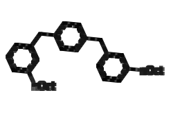 CCCCCCCCc1cccc(Cc2ccc(Cc3cccc(CCCCCCCC)c3)cc2)c1